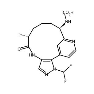 C[C@@H]1CCC[C@@H](NC(=O)O)c2cc(ccn2)-c2c(cnn2C(F)F)NC1=O